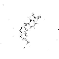 COc1ccc2ccc(Nc3ncnc(C(=O)O)c3C)cc2c1